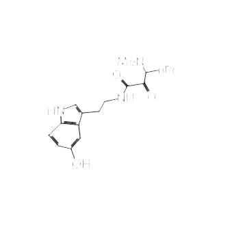 CCCC(NC)C(=O)C(=O)NCCc1c[nH]c2ccc(O)cc12